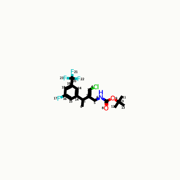 CC(C(=CCl)CNC(=O)OC(C)(C)C)c1cc(F)cc(C(F)(F)F)c1